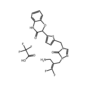 NCC(Cn1ncn(Cc2ccc(C3Oc4ccccc4NC3=O)s2)c1=O)=C(F)F.O=C(O)C(F)(F)F